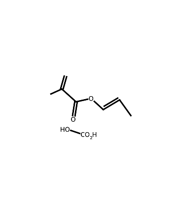 C=C(C)C(=O)OC=CC.O=C(O)O